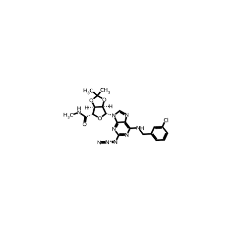 CNC(=O)[C@H]1O[C@@H](n2cnc3c(NCc4cccc(Cl)c4)nc(N=[N+]=[N-])nc32)[C@@H]2OC(C)(C)O[C@@H]21